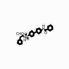 O=C[C@@H](Cc1ccccc1)NS(=O)(=O)c1ccc(-c2ccc(NC(=O)c3ccccc3)cc2)cc1